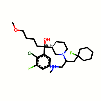 CNCC(CC1(F)CCCCC1)N1CCC[C@@H]([C@@](O)(CCCCOC)c2cccc(F)c2Cl)C1